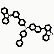 c1ccc(-c2ccc(N(c3ccc(-c4cccc(-n5c6ccccc6c6ccccc65)c4)cc3)c3ccc4cc(-c5cccc6oc7ccccc7c56)ccc4c3)cc2)cc1